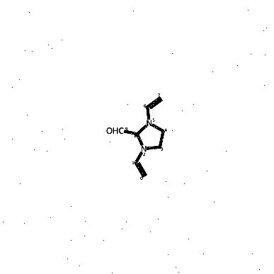 C=CN1CCN(C=C)C1C=O